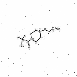 CCC(C)(C)C(=O)N1CCN(CCOC)CC1